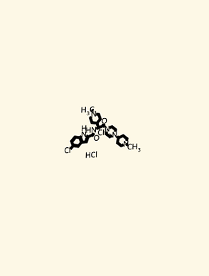 CN1CCC(N2CCN(C(=O)[C@@](C)(NC(=O)c3cc4cc(Cl)ccc4[nH]3)C3CCN(C)CC3)CC2)CC1.Cl